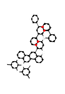 Cc1cc(C)c(B(c2c(C)cc(C)cc2C)c2cc3c4cccc5c4c(cc3c3ccccc23)-c2ccc(N(c3ccccc3-c3ccccc3)c3c(F)cc(-c4ccccc4)cc3-c3ccccc3)cc2O5)c(C)c1